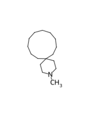 CN1CCC2(CCCCCCCCCC2)CC1